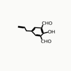 C=CCc1cc(C=O)c(O)c(C=O)c1